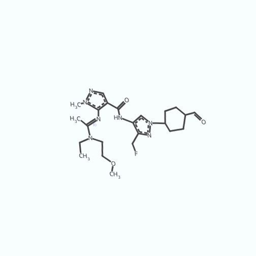 CCN(CCOC)/C(C)=N/c1c(C(=O)Nc2cn(C3CCC(C=O)CC3)nc2CF)cnn1C